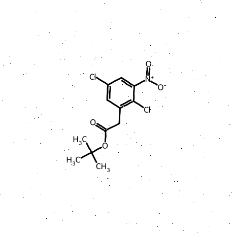 CC(C)(C)OC(=O)Cc1cc(Cl)cc([N+](=O)[O-])c1Cl